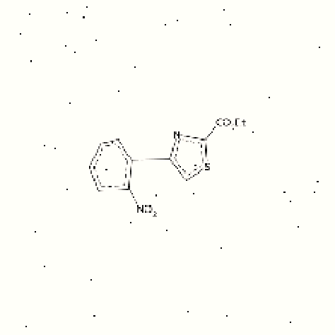 CCOC(=O)c1nc(-c2ccccc2[N+](=O)[O-])cs1